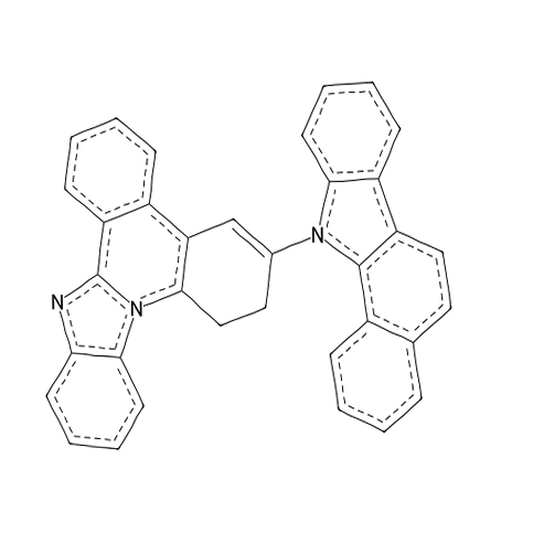 C1=C(n2c3ccccc3c3ccc4ccccc4c32)CCc2c1c1ccccc1c1nc3ccccc3n21